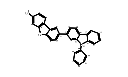 Brc1ccc2c(c1)sc1ccc(-c3ccc4c5ccccc5n(-c5ccccc5)c4c3)cc12